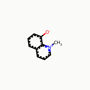 C[n+]1cccc2cccc([O-])c21